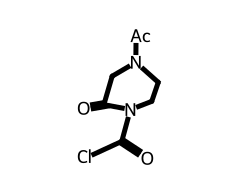 CC(=O)N1CCN(C(=O)Cl)C(=O)C1